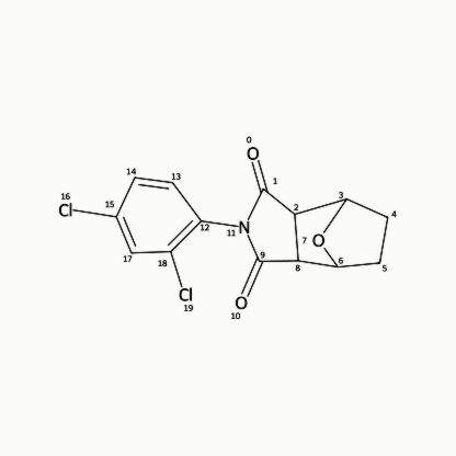 O=C1C2C3CCC(O3)C2C(=O)N1c1ccc(Cl)cc1Cl